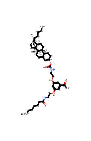 CCCCCCCCCCCCCCCC(=O)NCCOc1cc(OCCNC(=O)O[C@H]2CC[C@@]3(C)C(=CC[C@H]4[C@@H]5CC[C@H]([C@H](C)CCCC(C)C)[C@@]5(C)CC[C@@H]43)C2)cc(C(=O)C(C)C)c1